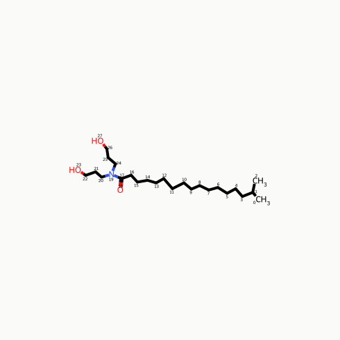 CC(C)CCCCCCCCCCCCCCC(=O)N(CCCO)CCCO